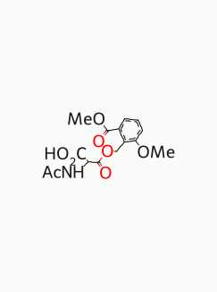 COC(=O)c1cccc(OC)c1COC(=O)C(NC(C)=O)C(=O)O